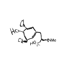 CNC(Cc1cc(Cl)c(O)c(Cl)c1)C(=O)O